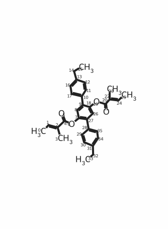 C/C=C(\C)C(=O)Oc1cc(-c2ccc(CC)cc2)c(OC(=O)/C(C)=C/C)cc1-c1ccc(CC)cc1